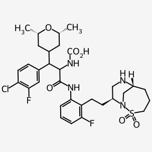 C[C@@H]1CC(C(c2ccc(Cl)c(F)c2)C(NC(=O)O)C(=O)Nc2cccc(F)c2CC[C@H]2CN[C@@H]3CCCS(=O)(=O)N2C3)C[C@H](C)O1